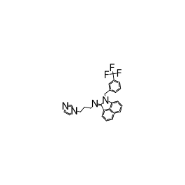 FC(F)(F)c1cccc(CN2/C(=N/CCCn3ccnc3)c3cccc4cccc2c34)c1